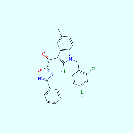 Cc1ccc2c(c1)c(C(=O)c1nc(-c3ccccc3)no1)c(Cl)n2Cc1ccc(Cl)cc1Cl